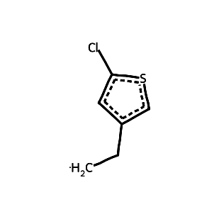 [CH2]Cc1csc(Cl)c1